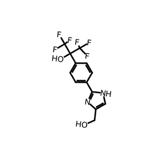 OCc1c[nH]c(-c2ccc(C(O)(C(F)(F)F)C(F)(F)F)cc2)n1